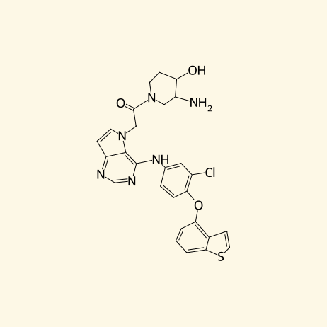 NC1CN(C(=O)Cn2ccc3ncnc(Nc4ccc(Oc5cccc6sccc56)c(Cl)c4)c32)CCC1O